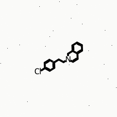 Clc1ccc(CCN2C=Cc3ccccc3C2)cc1